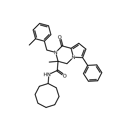 Cc1ccccc1CN1C(=O)c2ccc(-c3ccccc3)n2CC1(C)C(=O)NC1CCCCCCC1